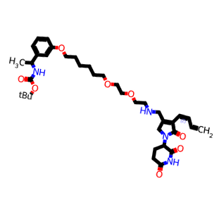 C=C/C=C\C1=C(CNCCOCCOCCCCCCOc2cccc(C(C)NC(=O)OC(C)(C)C)c2)CN(C2CCC(=O)NC2=O)C1=O